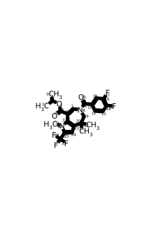 CC(C)OC(=O)C1=CN(C(=O)c2ccc(F)c(F)c2)CC(C)(C)c2cc(C(F)(F)F)n(C)c21